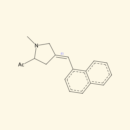 CC(=O)C1C/C(=C\c2cccc3ccccc23)CN1C